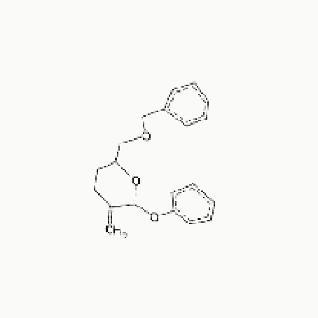 C=C1CCC(COCc2ccccc2)OC1Oc1ccccc1